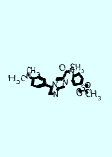 CN(C)c1ccc(-c2cnc3cnc(C(=O)N(C)c4ccc(S(C)(=O)=O)cc4)cn23)cc1